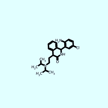 CC(C)N(CCC1C(=O)NC(c2cc(Cl)ccc2N)c2ccccc21)C(C)C